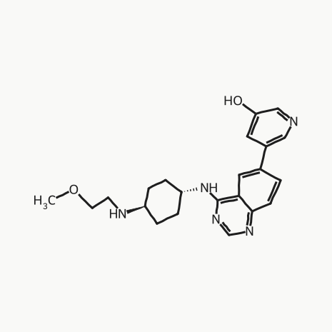 COCCN[C@H]1CC[C@H](Nc2ncnc3ccc(-c4cncc(O)c4)cc23)CC1